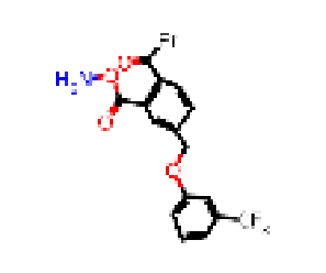 CCC(=O)c1ccc(COc2cccc(C(F)(F)F)c2)cc1C(=O)ON